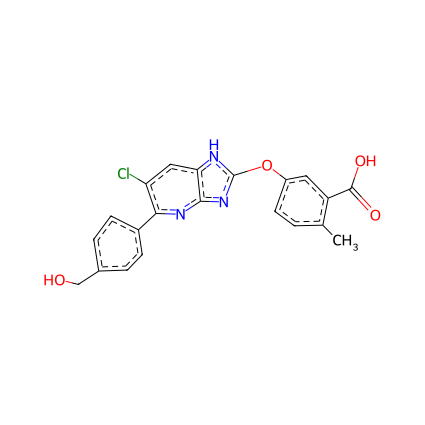 Cc1ccc(Oc2nc3nc(-c4ccc(CO)cc4)c(Cl)cc3[nH]2)cc1C(=O)O